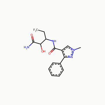 Cn1cc(C(=O)NC(CC(F)(F)F)C(O)C(N)=O)c(-c2ccccc2)n1